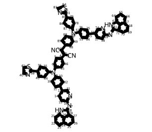 N#C/C(=C(/C#N)c1ccc(N(c2ccc(-c3ccc(/N=C4\Nc5cccc6cccc4c56)nc3)cc2)c2ccc(-c3nccs3)cc2)cc1)c1ccc(N(c2ccc(-c3ccc(/N=C4\Nc5cccc6cccc4c56)nc3)cc2)c2ccc(-c3nccs3)cc2)cc1